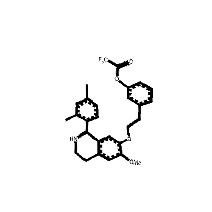 COc1cc2c(cc1OCCc1cccc(OC(=O)C(F)(F)F)c1)C(c1ccc(C)cc1C)NCC2